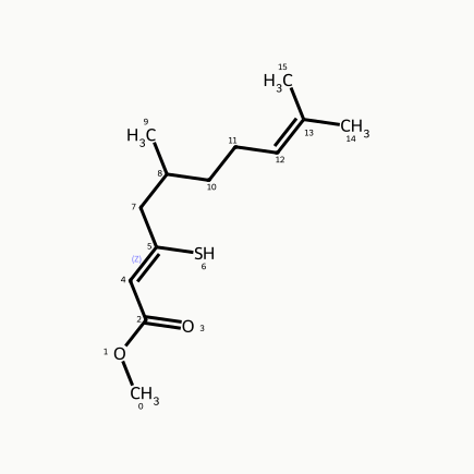 COC(=O)/C=C(\S)CC(C)CCC=C(C)C